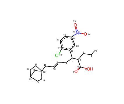 CCCC(C(=O)O)C(CC=CCC12CCC(CC1)C2)c1cc([N+](=O)[O-])ccc1Cl